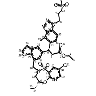 CCOC(=O)CC(c1cc(CN2C[C@@H](CC)Oc3ncc(Cl)cc3S2(=O)=O)c2sccc2c1)c1ccc2c(nnn2CCCS(C)(=O)=O)c1C